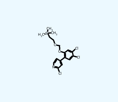 C[Si](C)(C)CCOCOc1cc(Cl)c(Cl)cc1-c1ccnc(Cl)c1